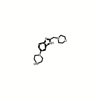 c1cc2nc(CN3CCOCC3)[nH]c2cc1N1CCNCC1